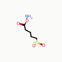 NOC(=O)CCCC[SH](=O)=O